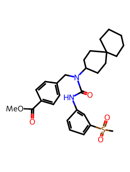 COC(=O)c1ccc(CN(C(=O)Nc2cccc(S(C)(=O)=O)c2)C2CCC3(CCCCC3)CC2)cc1